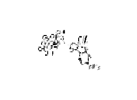 CC1(F)C[C@@H](COP(=O)(O)OP(=O)(O)OP(=O)(O)O)O[C@H]1n1ccc(N)nc1=S